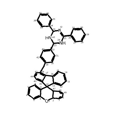 C1=CC2Oc3ccccc3C3(c4ccccc4-c4c(-c5ccc(C6NC(c7ccccc7)=NC(c7ccccc7)N6)cc5)cccc43)C2C=C1